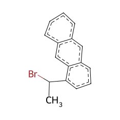 CC(Br)c1cccc2cc3ccccc3cc12